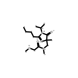 CCCCC1=NC(C)(CN(C)C(=O)COC)C(=O)N1C(C)C